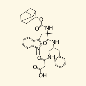 CC(Cc1c[nH]c2ccccc12)(NC(=O)OC1C2CC3CC(C2)CC1C3)C(=O)NC(CNC(=O)CC(=O)O)Cc1ccccc1